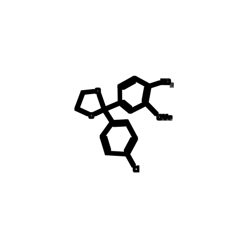 COc1cc(C2(c3ccc(Cl)cc3)OCCO2)ccc1[N+](=O)[O-]